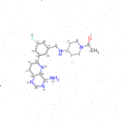 CC(=O)N1CCC(NCc2cc(F)cc(-c3ccc4ncnc(N)c4n3)c2)CC1